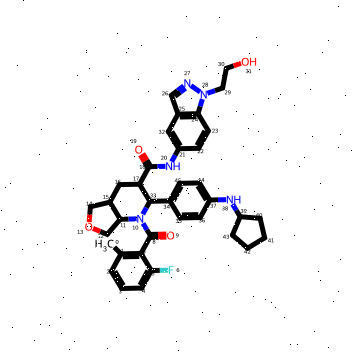 Cc1cccc(F)c1C(=O)N1C2COCC2CC(C(=O)Nc2ccc3c(cnn3CCO)c2)C1c1ccc(NC2CCCC2)cc1